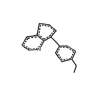 CCc1ccc(-c2cccc3cccnc23)cc1